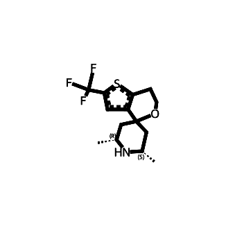 C[C@@H]1CC2(C[C@H](C)N1)OCCc1sc(C(F)(F)F)cc12